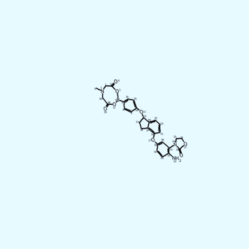 CN1CC(=O)OB(c2ccc(O[C@@H]3CCc4c(Oc5ccc(N)c(N6CCOC6=O)c5)cccc43)cc2)OC(=O)C1